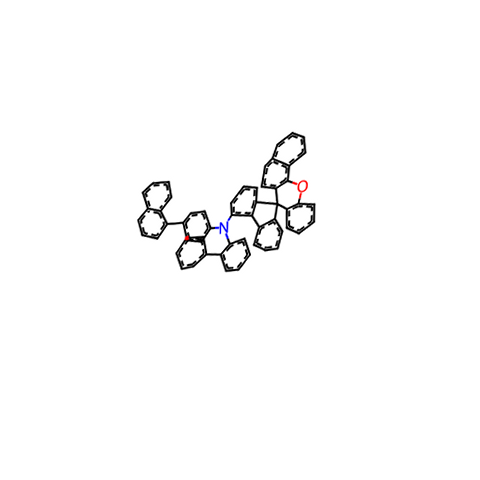 c1ccc(-c2ccccc2N(c2ccc(-c3cccc4ccccc34)cc2)c2cccc3c2-c2ccccc2C32c3ccccc3Oc3c2ccc2ccccc32)cc1